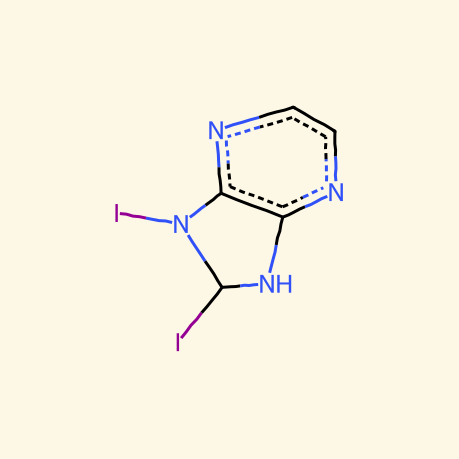 IC1Nc2nccnc2N1I